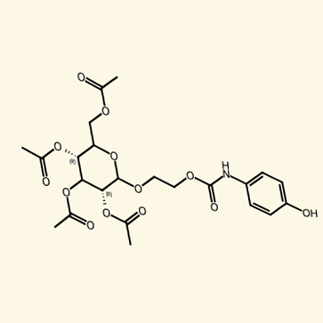 CC(=O)OCC1OC(OCCOC(=O)Nc2ccc(O)cc2)[C@H](OC(C)=O)C(OC(C)=O)[C@@H]1OC(C)=O